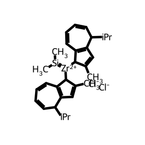 CC1=CC2=C(C=CC=CC2C(C)C)[CH]1[Zr+2]([CH]1C(C)=CC2=C1C=CC=CC2C(C)C)=[Si](C)C.[Cl-].[Cl-]